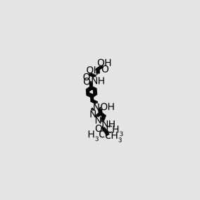 CC(C)(C)C(=O)Nc1cc2c(O)n(CCc3ccc(C(=O)N[C@@H](CCC(=O)O)C(=O)O)cc3)cnc-2n1